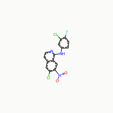 O=[N+]([O-])c1cc2c(Nc3ccc(F)c(Cl)c3)nccc2cc1Cl